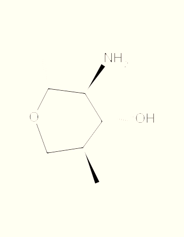 C[C@H]1CO[C@H](C)[C@@H](N)[C@@H]1O